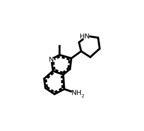 Cc1nc2cccc(N)c2cc1C1CCCNC1